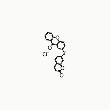 O=c1ccc2ccc([I+]c3ccc4oc5ccccc5c(=O)c4c3)cc2o1.[Cl-]